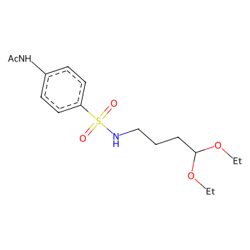 CCOC(CCCNS(=O)(=O)c1ccc(NC(C)=O)cc1)OCC